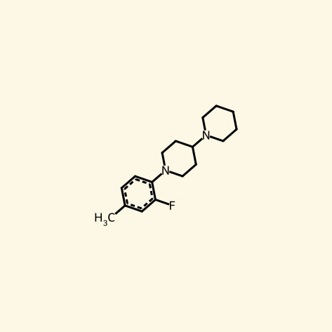 Cc1ccc(N2CCC(N3CCCCC3)CC2)c(F)c1